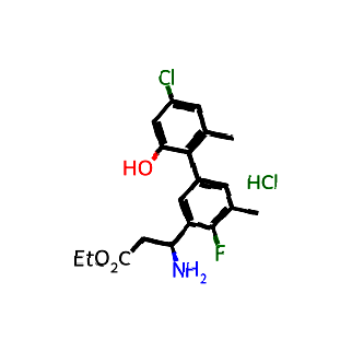 CCOC(=O)C[C@H](N)c1cc(-c2c(C)cc(Cl)cc2O)cc(C)c1F.Cl